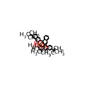 CC(C)(C)c1ccc2cc(-c3c(P(O)(O)(O)c4cc5ccc(C(C)(C)C)cc5cc4C(C)(C)C)ccc4ccccc34)c(C(C)(C)C)cc2c1